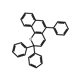 C1=CC(c2ccccc2)(c2ccccc2)Oc2c1c(-c1ccccc1)cc1ccccc21